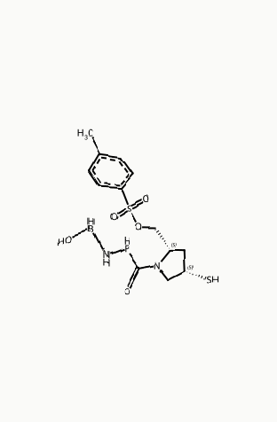 Cc1ccc(S(=O)(=O)OC[C@@H]2C[C@H](S)CN2C(=O)PNBO)cc1